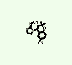 CC1(C)C=C(N2CCS/C2=N/C#N)c2cc(C#N)ccc2O1